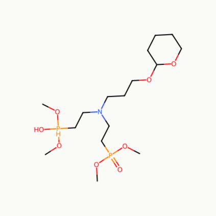 COP(=O)(CCN(CCCOC1CCCCO1)CC[PH](O)(OC)OC)OC